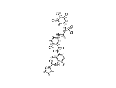 O=C(Nc1c(F)ccc(NC(=O)c2cc(NC(=O)[C@H]3[C@H](c4cc(Cl)c(Cl)c(Cl)c4)C3(Cl)Cl)ccc2Cl)c1F)c1ccco1